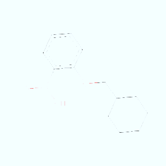 OB(O)c1ccccc1OCC1CCCCC1